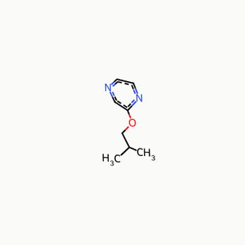 CC(C)COc1cnccn1